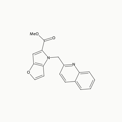 COC(=O)c1cc2occc2n1Cc1ccc2ccccc2n1